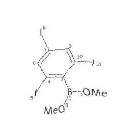 COB(OC)c1c(I)cc(I)cc1I